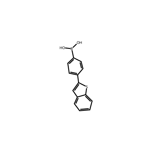 OB(O)c1ccc(-c2cc3ccccc3s2)cc1